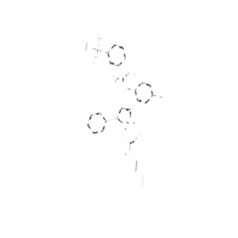 CCCCOC(=O)Cn1nc(-c2cc(C)ccc2OS(=O)(=O)c2cccc(C(F)(F)F)c2)cc1-c1ccccc1